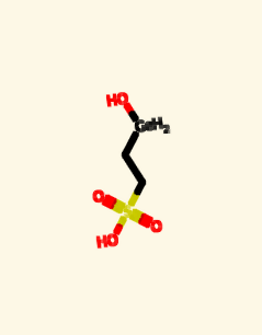 O=S(=O)(O)C[CH2][GeH2][OH]